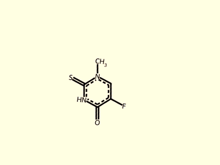 Cn1cc(F)c(=O)[nH]c1=S